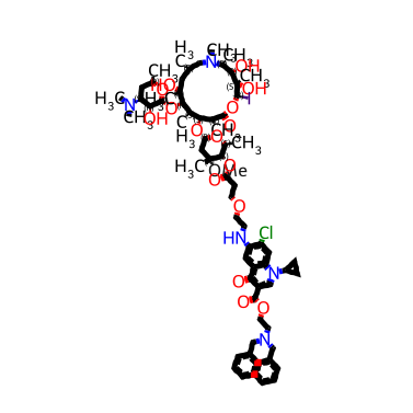 CO[C@]1(C)C[C@H](O[C@H]2[C@H](C)[C@@H](O[C@@H]3O[C@H](C)C[C@H](N(C)C)[C@H]3O)[C@](C)(O)C[C@@H](C)CN(C)[C@H](C)[C@@H](O)[C@](C)(O)[C@@H](I)OC(=O)[C@@H]2C)O[C@@H](C)[C@@H]1OC(=O)CCOCCNc1cc2c(=O)c(C(=O)OCCN(Cc3ccccc3)Cc3ccccc3)cn(C3CC3)c2cc1Cl